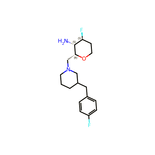 N[C@@H]1[C@@H](F)CCO[C@@H]1CN1CCCC(Cc2ccc(F)cc2)C1